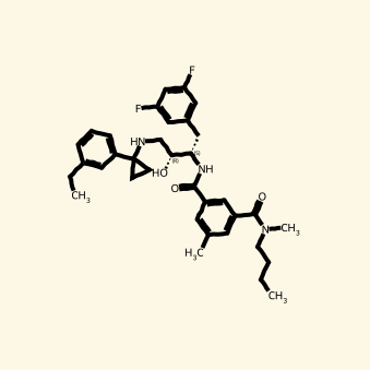 CCCCN(C)C(=O)c1cc(C)cc(C(=O)N[C@@H](Cc2cc(F)cc(F)c2)[C@H](O)CNC2(c3cccc(CC)c3)CC2)c1